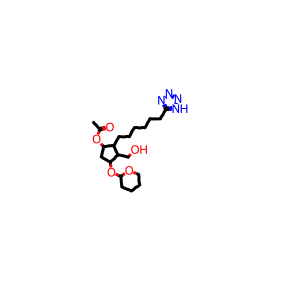 CC(=O)OC1CC(OC2CCCCO2)C(CO)C1CCCCCCc1nnn[nH]1